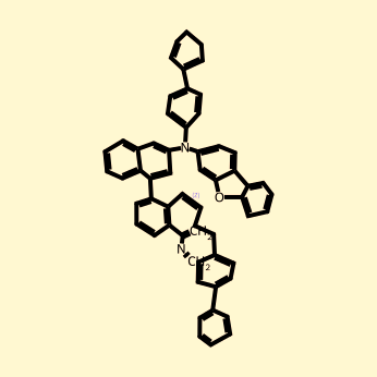 C=NC(=C)c1cccc(-c2cc(N(c3ccc(C4=CCCC=C4)cc3)c3ccc4c(c3)oc3ccccc34)cc3ccccc23)c1/C=C\CCc1ccc(-c2ccccc2)cc1